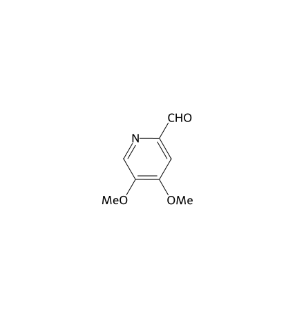 COc1cnc(C=O)cc1OC